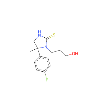 CC1(c2ccc(F)cc2)CNC(=S)N1CCCO